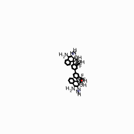 [H]/N=N/C1=C(N)c2ccccc2C(c2ccc(-c3ccc(C4(S(=O)(=O)O)c5ccccc5C(N)=C(/N=N/[H])C4O)c(C(F)(F)F)c3)cc2C(F)(F)F)(S(=O)(=O)O)C1O